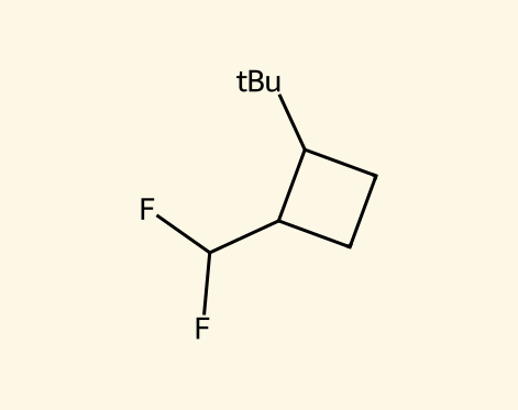 CC(C)(C)C1CCC1C(F)F